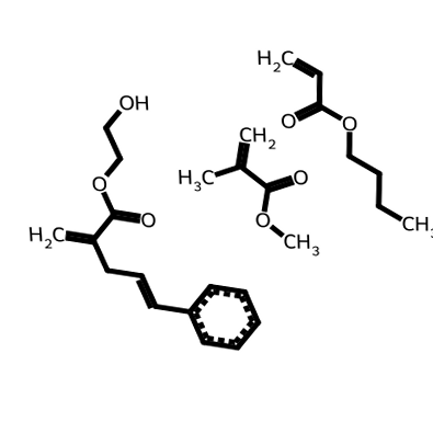 C=C(C)C(=O)OC.C=C(CC=Cc1ccccc1)C(=O)OCCO.C=CC(=O)OCCCC